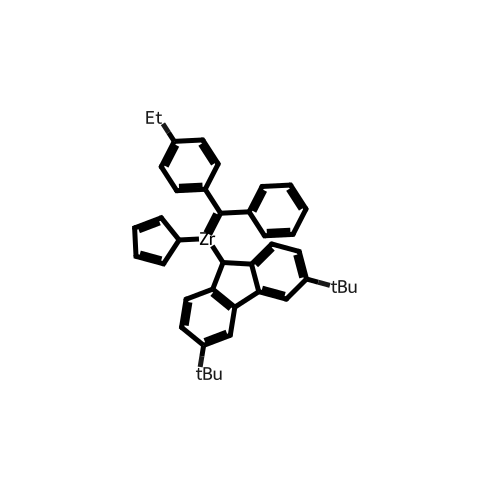 CCc1ccc([C](c2ccccc2)=[Zr]([CH]2C=CC=C2)[CH]2c3ccc(C(C)(C)C)cc3-c3cc(C(C)(C)C)ccc32)cc1